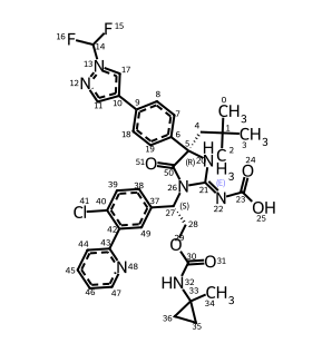 CC(C)(C)C[C@]1(c2ccc(-c3cnn(C(F)F)c3)cc2)N/C(=N\C(=O)O)N([C@H](COC(=O)NC2(C)CC2)c2ccc(Cl)c(-c3ccccn3)c2)C1=O